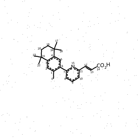 Cc1cc2c(cc1-c1cccc(C=CC(=O)O)n1)C(C)(C)CCC2(C)C